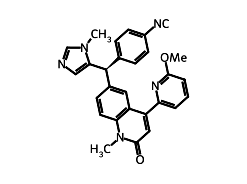 [C-]#[N+]c1ccc([C@@H](c2ccc3c(c2)c(-c2cccc(OC)n2)cc(=O)n3C)c2cncn2C)cc1